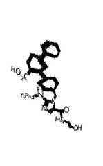 CCCCNc1ncc(C(=O)NCCO)n1Cc1ccc(-c2cc(-c3ccccc3)ccc2C(=O)O)cc1